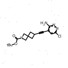 CC(C)(C)OC(=O)N1CC2(CC(C#Cc3cc(Cl)nnc3N)C2)C1